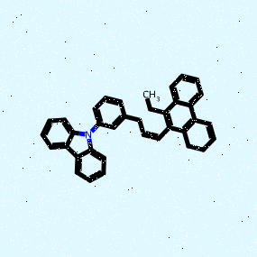 CCc1c(/C=C\Cc2cccc(-n3c4ccccc4c4ccccc43)c2)c2c(c3ccccc13)C=CCC2